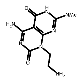 CNc1nc2c(c(N)nc(=O)n2CCN)c(=O)[nH]1